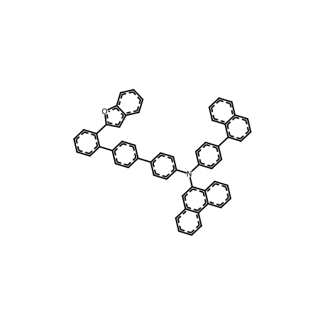 c1ccc(-c2cc3ccccc3o2)c(-c2ccc(-c3ccc(N(c4ccc(-c5cccc6ccccc56)cc4)c4cc5ccccc5c5ccccc45)cc3)cc2)c1